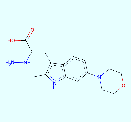 Cc1[nH]c2cc(N3CCOCC3)ccc2c1CC(NN)C(=O)O